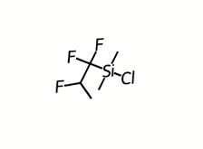 CC(F)C(F)(F)[Si](C)(C)Cl